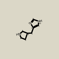 c1nc(CC2CCNC2)c[nH]1